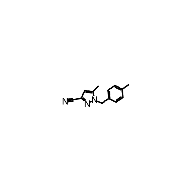 Cc1ccc(Cn2nc(C#N)cc2C)cc1